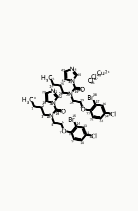 CCCCN(CCOc1ccc(Cl)cc1Br)C(=O)n1ccnc1.CCCCN(CCOc1ccc(Cl)cc1Br)C(=O)n1ccnc1.[Cl-].[Cl-].[Cu+2]